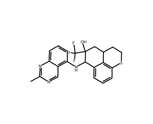 Cc1ncc2c(NC3c4cccc5c4C(CCS5)CC3(O)C(F)(F)F)cccc2n1